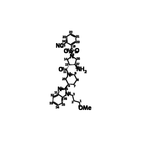 COCCCn1c([C@@H]2CCCN(C(=O)[C@@H]3CN(S(=O)(=O)c4ccccc4C#N)C[C@H]3N)C2)nc2ccccc21